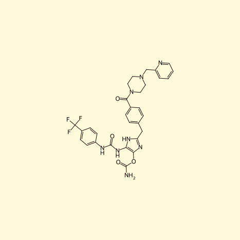 NC(=O)Oc1nc(Cc2ccc(C(=O)N3CCN(Cc4ccccn4)CC3)cc2)[nH]c1NC(=O)Nc1ccc(C(F)(F)F)cc1